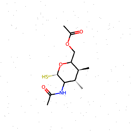 CC(=O)NC1[C@H](S)OC(COC(C)=O)[C@@H](C)[C@@H]1C